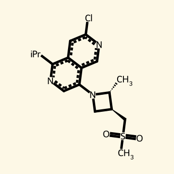 CC(C)c1ncc(N2C[C@H](CS(C)(=O)=O)[C@H]2C)c2cnc(Cl)cc12